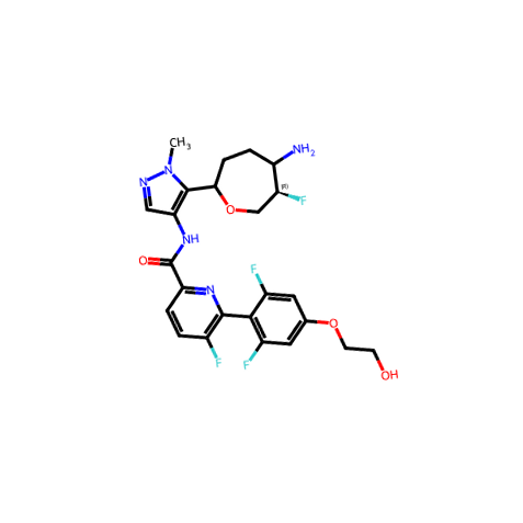 Cn1ncc(NC(=O)c2ccc(F)c(-c3c(F)cc(OCCO)cc3F)n2)c1C1CCC(N)[C@@H](F)CO1